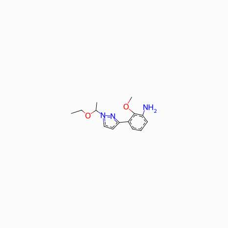 CCOC(C)n1ccc(-c2cccc(N)c2OC)n1